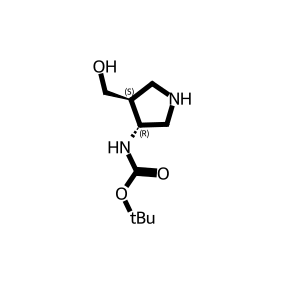 CC(C)(C)OC(=O)N[C@H]1CNC[C@@H]1CO